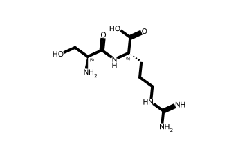 N=C(N)NCCC[C@H](NC(=O)[C@@H](N)CO)C(=O)O